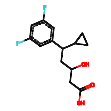 O=C(O)CC(O)CC(c1cc(F)cc(F)c1)C1CC1